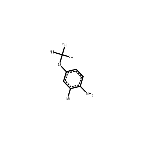 [2H]C([2H])([2H])Oc1ccc(N)c(Br)c1